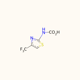 O=C(O)Nc1nc(C(F)(F)F)cs1